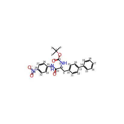 CC(C)(C)OC(=O)NC(Cc1ccc(-c2ccccc2)cc1)C(=O)Nc1ccc([N+](=O)[O-])cc1